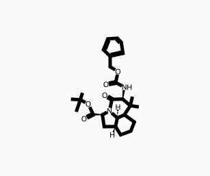 CC(C)(C)OC(=O)[C@@H]1C[C@@H]2CCCC3[C@@H]2N1C(=O)[C@@H](NC(=O)OCc1ccccc1)C3(C)C